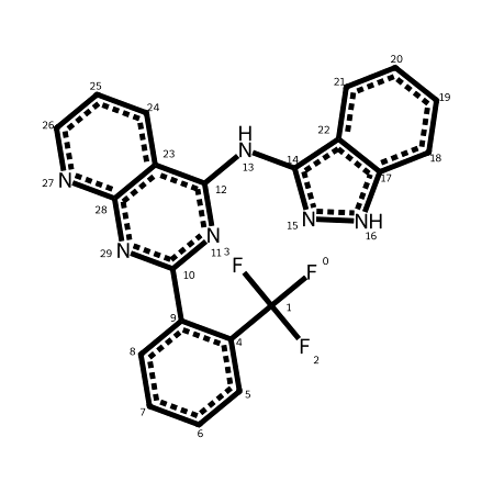 FC(F)(F)c1ccccc1-c1nc(Nc2n[nH]c3ccccc23)c2cccnc2n1